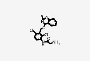 Cc1nc(OCc2c(Cl)ccc(N(C)C(=O)CN)c2Cl)c2ccccc2n1